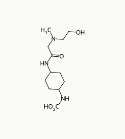 CN(CCO)CC(=O)NC1CCC(NC(=O)O)CC1